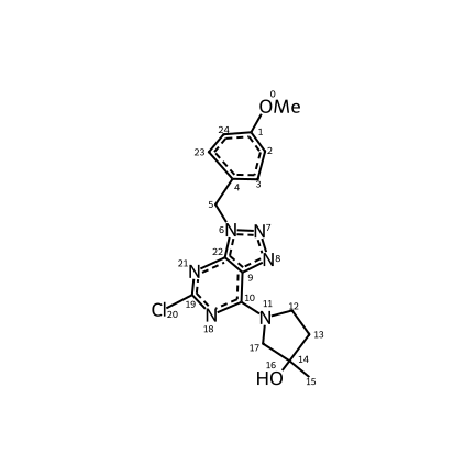 COc1ccc(Cn2nnc3c(N4CCC(C)(O)C4)nc(Cl)nc32)cc1